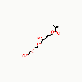 C=C(C)C(=O)OCCCC(O)COCCOCCO